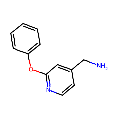 NCc1ccnc(Oc2c[c]ccc2)c1